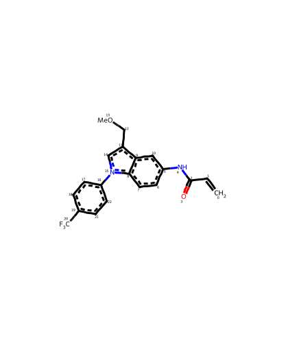 C=CC(=O)Nc1ccc2c(c1)c(COC)cn2-c1ccc(C(F)(F)F)cc1